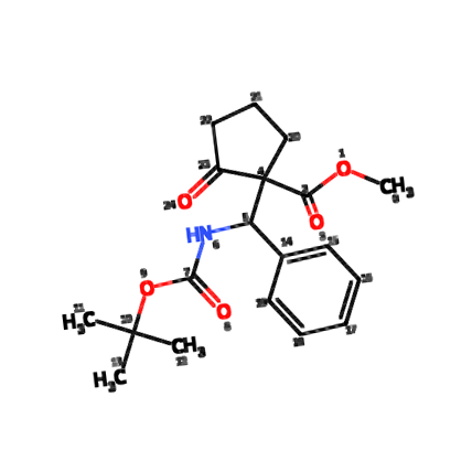 COC(=O)C1(C(NC(=O)OC(C)(C)C)c2ccccc2)CCCC1=O